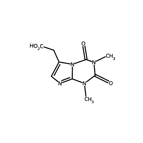 Cn1c(=O)n(C)c2ncc(CC(=O)O)n2c1=O